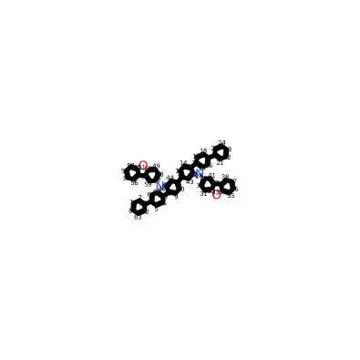 c1ccc(-c2ccc3c4ccc(-c5ccc6c7ccc(-c8ccccc8)cc7n(-c7ccc8oc9ccccc9c8c7)c6c5)cc4n(-c4ccc5oc6ccccc6c5c4)c3c2)cc1